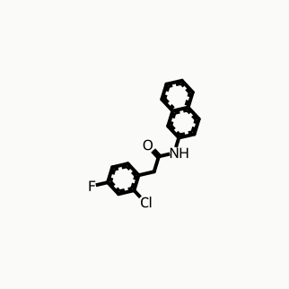 O=C(Cc1ccc(F)cc1Cl)Nc1ccc2ccccc2c1